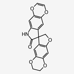 O=C1Nc2cc3c(cc2C12COc1cc4c(cc12)OCCO4)OC=CO3